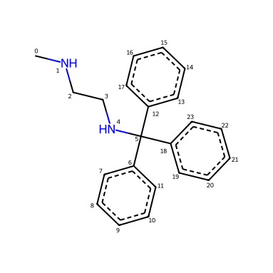 CNCCNC(c1ccccc1)(c1ccccc1)c1ccccc1